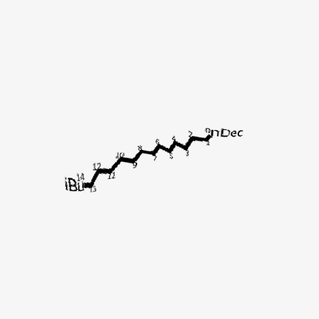 [CH2]CCCCCCCCCCCCCCCCCCCCCCC(C)C[CH2]